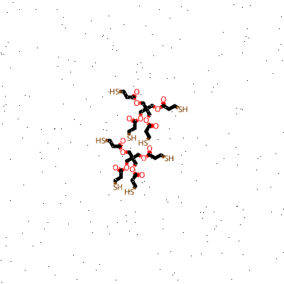 O=C(CCS)OCC(COC(=O)CCS)(COC(=O)CCS)COC(=O)CCS.O=C(CCS)OCC(COC(=O)CCS)(COC(=O)CCS)COC(=O)CCS